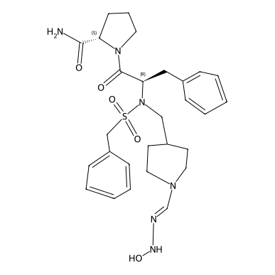 NC(=O)[C@@H]1CCCN1C(=O)[C@@H](Cc1ccccc1)N(CC1CCN(C=NNO)CC1)S(=O)(=O)Cc1ccccc1